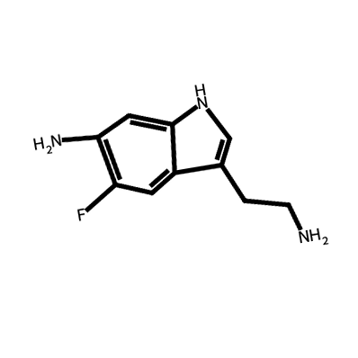 NCCc1c[nH]c2cc(N)c(F)cc12